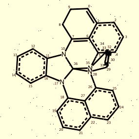 C1=c2cccc3c2=C(CC1)N1c2ccccc2N2c4cccc5cccc(c45)N4c5ccccc5N3C124